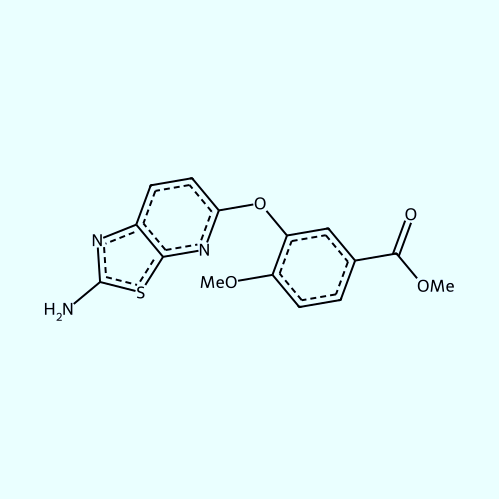 COC(=O)c1ccc(OC)c(Oc2ccc3nc(N)sc3n2)c1